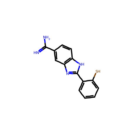 N=C(N)c1ccc2[nH]c(-c3ccccc3S)nc2c1